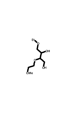 CCOCC(O)C(CO)OCCOC